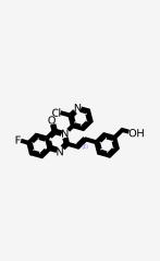 O=c1c2cc(F)ccc2nc(/C=C/c2cccc(CO)c2)n1-c1cccnc1Cl